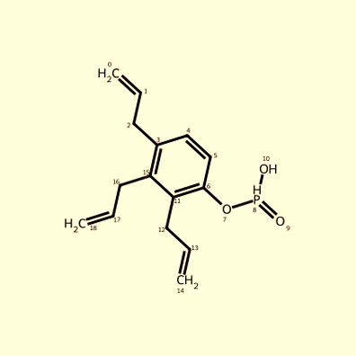 C=CCc1ccc(O[PH](=O)O)c(CC=C)c1CC=C